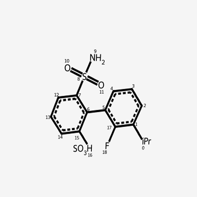 CC(C)c1cccc(-c2c(S(N)(=O)=O)cccc2S(=O)(=O)O)c1F